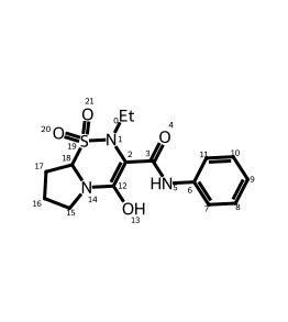 CCN1C(C(=O)Nc2ccccc2)=C(O)N2CCCC2S1(=O)=O